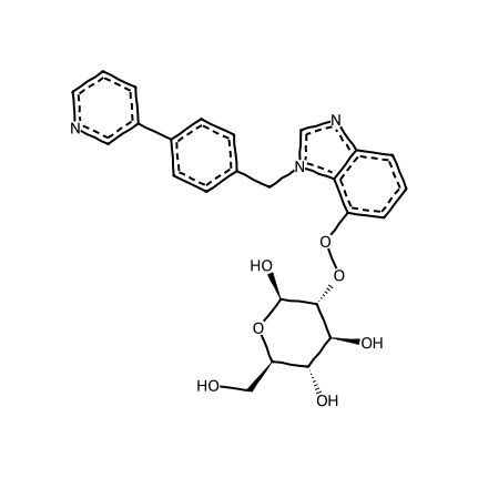 OC[C@H]1O[C@@H](O)[C@H](OOc2cccc3ncn(Cc4ccc(-c5cccnc5)cc4)c23)[C@@H](O)[C@@H]1O